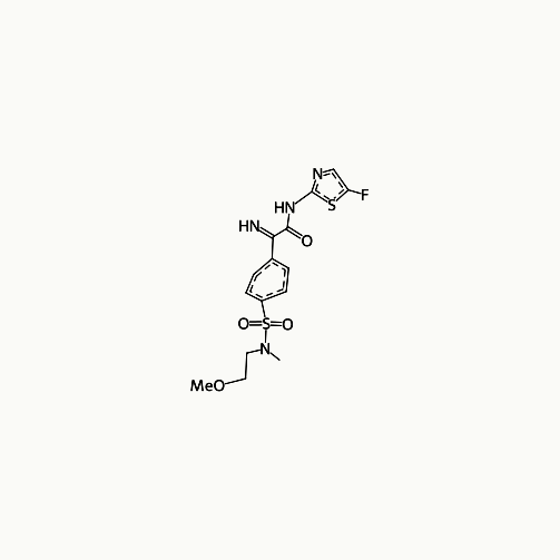 COCCN(C)S(=O)(=O)c1ccc(C(=N)C(=O)Nc2ncc(F)s2)cc1